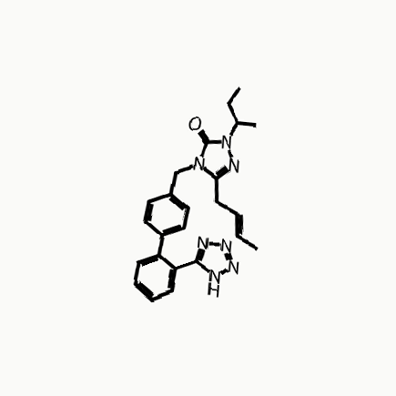 CC=CCc1nn(C(C)CC)c(=O)n1Cc1ccc(-c2ccccc2-c2nnn[nH]2)cc1